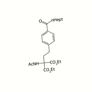 CCCCCCCC(=O)c1ccc(CCC(NC(C)=O)(C(=O)OCC)C(=O)OCC)cc1